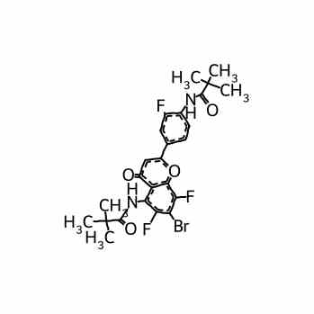 CC(C)(C)C(=O)Nc1ccc(-c2cc(=O)c3c(NC(=O)C(C)(C)C)c(F)c(Br)c(F)c3o2)cc1F